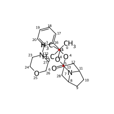 CC(C)(C)OC(=O)N1C2CCC1CC(OCc1ccccc1N1CCOCC1)C2